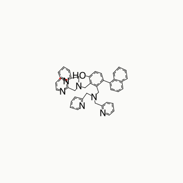 Oc1ccc(-c2cccc3ccccc23)c(CN(Cc2ccccn2)Cc2ccccn2)c1CN(Cc1ccccn1)Cc1ccccn1